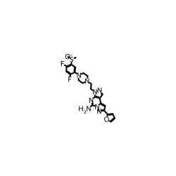 C[S+]([O-])c1cc(N2CCN(CCn3ncc4c3nc(N)n3nc(-c5ccco5)cc43)CC2)c(F)cc1F